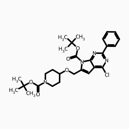 CC(C)(C)OC(=O)N1CCC(OCc2cc3c(Cl)nc(-c4ccccc4)nc3n2C(=O)OC(C)(C)C)CC1